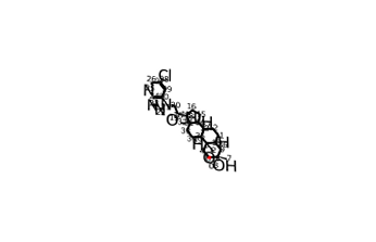 COC[C@]12CC[C@@](C)(O)C[C@@H]1CC[C@H]1[C@@H]3CC[C@H](C(=O)Cn4nnc5ncc(Cl)cc54)[C@@]3(C)CC[C@@H]12